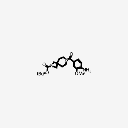 COc1cc(C(=O)N2CCC3(CC2)CN(C(=O)OC(C)(C)C)C3)ccc1N